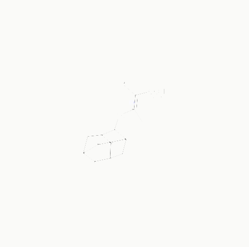 C/C(OC1C2CC3CC(C2)CC1C3)=C(/C)C(=O)O